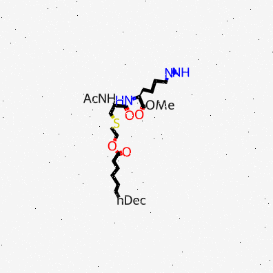 CCCCCCCCCCCCCCCC(=O)OCCSC[C@H](NC(C)=O)C(=O)N[C@@H](CCCCN=N)C(=O)OC